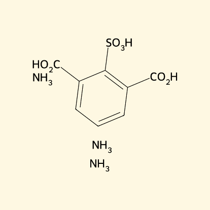 N.N.N.O=C(O)c1cccc(C(=O)O)c1S(=O)(=O)O